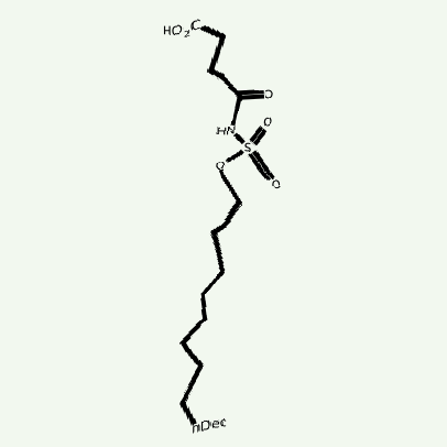 CCCCCCCCCCCCCCCCCCOS(=O)(=O)NC(=O)CCC(=O)O